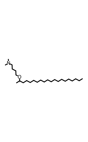 CCCCCCCCCCCCCCCCCC[C](C)OCCCCN(C)C